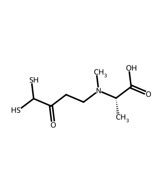 C[C@@H](C(=O)O)N(C)CCC(=O)C(S)S